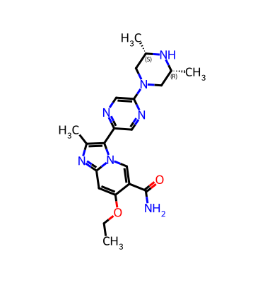 CCOc1cc2nc(C)c(-c3cnc(N4C[C@@H](C)N[C@@H](C)C4)cn3)n2cc1C(N)=O